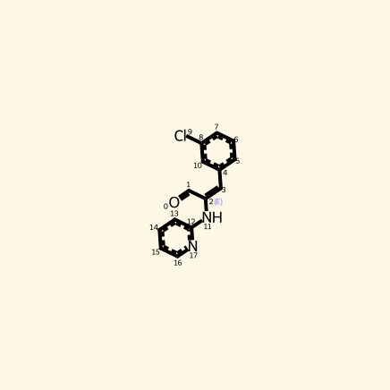 O=C/C(=C\c1cccc(Cl)c1)Nc1ccccn1